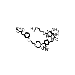 CCCCOc1nc(N)c2[nH]c(=O)n(Cc3ccc(N4CCCN(CCOc5cccc(CC(=O)OC)c5)CC4)c([N+](=O)[O-])c3)c2n1